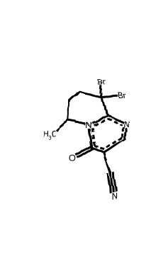 CC1CCC(Br)(Br)c2ncc(C#N)c(=O)n21